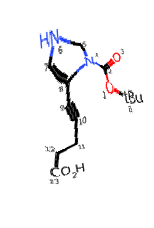 CC(C)(C)OC(=O)N1CNC=C1C#CCCC(=O)O